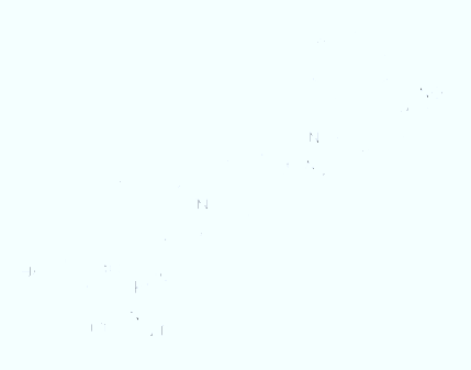 [2H]CCN(CCOP(OCCO)N(C(C)C)C(C)C)c1ccc(/N=N/c2ccc([N+](=O)[O-])c3ccccc23)cc1